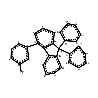 Brc1cccc(-c2cccc3c2-c2ccccc2C3(c2ccccc2)c2ccccc2)c1